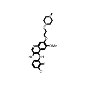 COc1cc2c(Nc3cccc(Cl)c3F)c(C#N)cnc2cc1OCCON1CCN(C)CC1